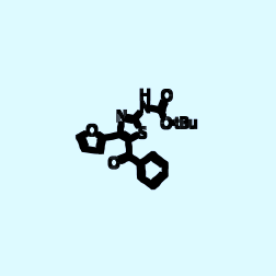 CC(C)(C)OC(=O)Nc1nc(-c2ccco2)c(C(=O)c2ccccc2)s1